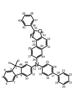 CC1(C)c2ccccc2-c2ccc(N(c3ccc(-c4ccccc4)cc3)c3ccc4c(ccc5oc(-c6ccccc6)nc54)c3)cc21